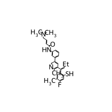 CC/C=C(/c1cc(C)c(F)cc1S)c1cc(-c2cccc(NC(=O)/C=C/CN(C)C)c2)cnc1C